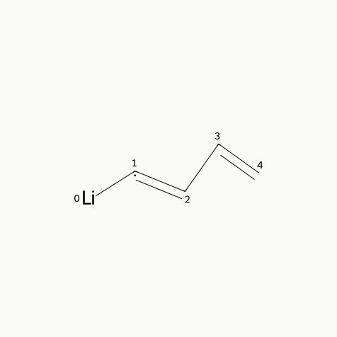 [Li]/[C]=C/C=C